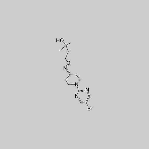 CC(C)(O)CCON=C1CCN(c2ncc(Br)cn2)CC1